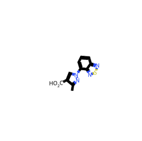 Cc1nn(-c2cccc3nsnc23)cc1C(=O)O